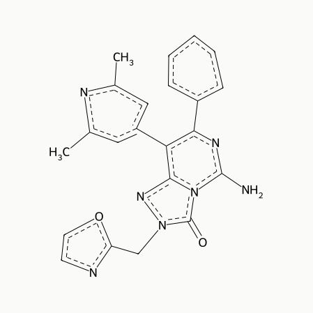 Cc1cc(-c2c(-c3ccccc3)nc(N)n3c(=O)n(Cc4ncco4)nc23)cc(C)n1